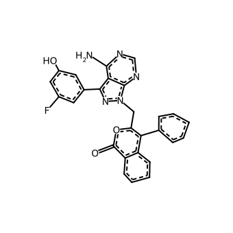 Nc1ncnc2c1c(-c1cc(O)cc(F)c1)nn2Cc1oc(=O)c2ccccc2c1-c1ccccc1